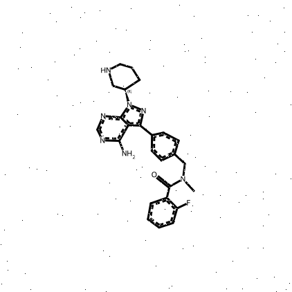 CN(Cc1ccc(-c2nn([C@@H]3CCCNC3)c3ncnc(N)c23)cc1)C(=O)c1ccccc1F